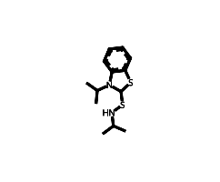 CC(C)NSC1Sc2ccccc2N1C(C)C